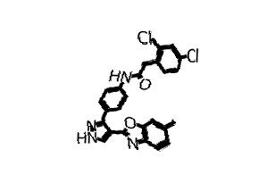 Cc1ccc2nc(-c3c[nH]nc3-c3ccc(NC(=O)Cc4ccc(Cl)cc4Cl)cc3)oc2c1